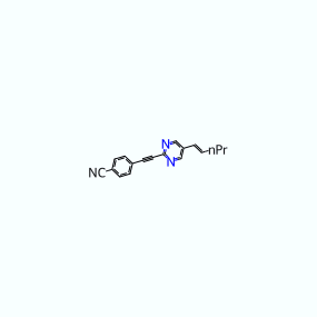 CCCC=Cc1cnc(C#Cc2ccc(C#N)cc2)nc1